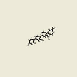 CC(=O)N1CCc2c(c3ccc(-n4ccc(-c5ccc(C)nc5)cc4=O)nc3n2C)C1